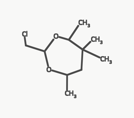 CC1CC(C)(C)C(C)OC(CCl)O1